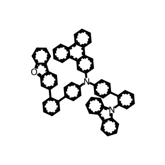 c1ccc(-c2ccc3c(c2)oc2ccccc23)c(-c2ccc(N(c3ccc(-c4ccccc4-n4c5ccccc5c5ccccc54)cc3)c3ccc4c5ccccc5c5ccccc5c4c3)cc2)c1